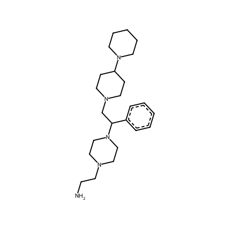 NCCN1CCN(C(CN2CCC(N3CCCCC3)CC2)c2ccccc2)CC1